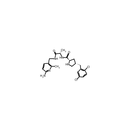 Cc1nc(N)ccc1CNC(=O)[C@H](C)NC(=O)[C@H]1C[C@H](Cc2cc(Cl)ccc2Cl)CN1